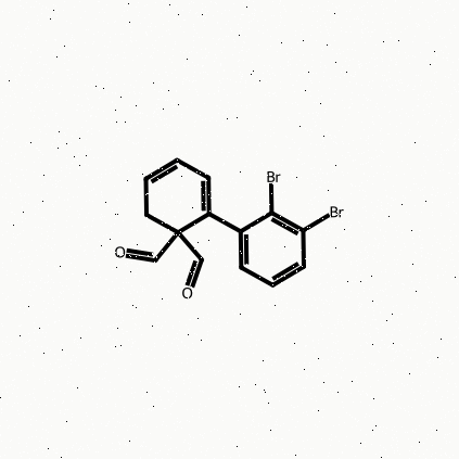 O=CC1(C=O)CC=CC=C1c1cccc(Br)c1Br